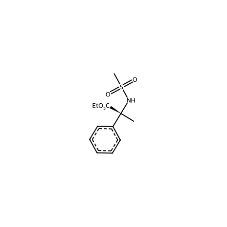 CCOC(=O)[C@](C)(NS(C)(=O)=O)c1ccccc1